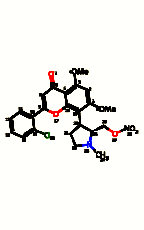 COc1cc(OC)c2c(=O)cc(-c3ccccc3Cl)oc2c1[C@H]1CCN(C)[C@@H]1CO[N+](=O)[O-]